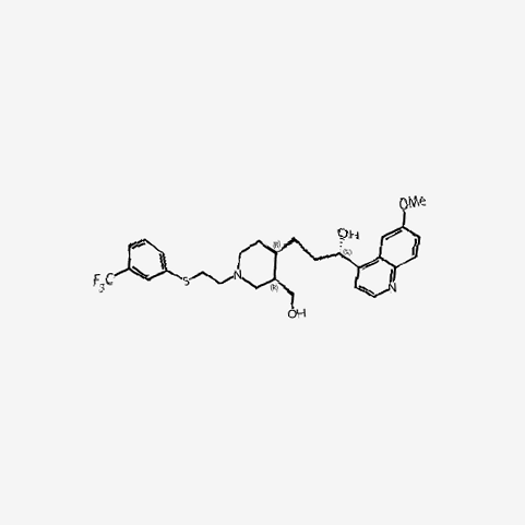 COc1ccc2nccc([C@@H](O)CC[C@@H]3CCN(CCSc4cccc(C(F)(F)F)c4)C[C@@H]3CO)c2c1